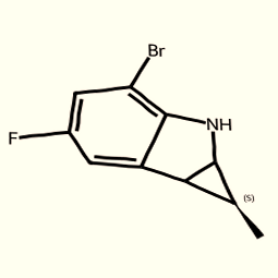 C[C@@H]1C2Nc3c(Br)cc(F)cc3C21